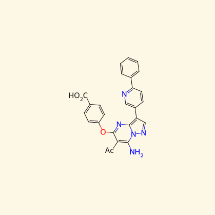 CC(=O)c1c(Oc2ccc(C(=O)O)cc2)nc2c(-c3ccc(-c4ccccc4)nc3)cnn2c1N